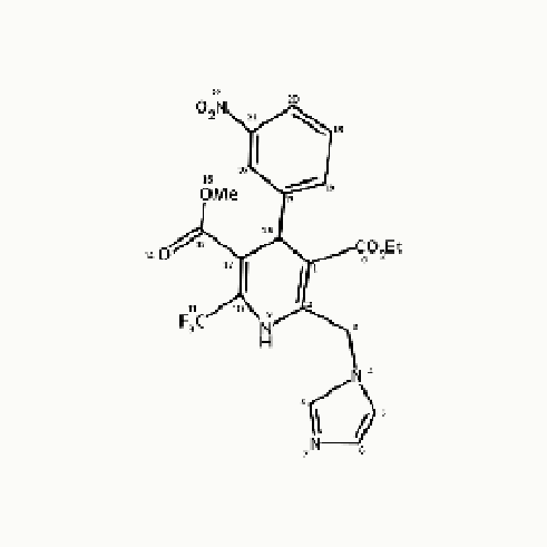 CCOC(=O)C1=C(Cn2ccnc2)NC(C(F)(F)F)=C(C(=O)OC)C1c1cccc([N+](=O)[O-])c1